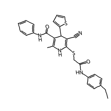 CCc1ccc(NC(=O)CSC2=C(C#N)C(c3cccs3)C(C(=O)Nc3ccccc3)=C(C)N2)cc1